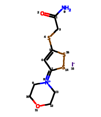 NC(=O)CSc1cc(=[N+]2CCOCC2)ss1.[I-]